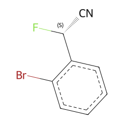 N#C[C@@H](F)c1ccccc1Br